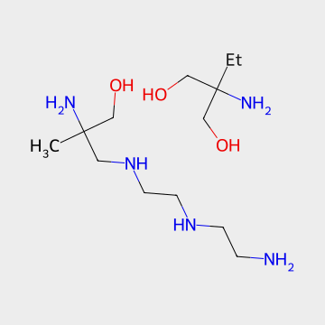 CC(N)(CO)CNCCNCCN.CCC(N)(CO)CO